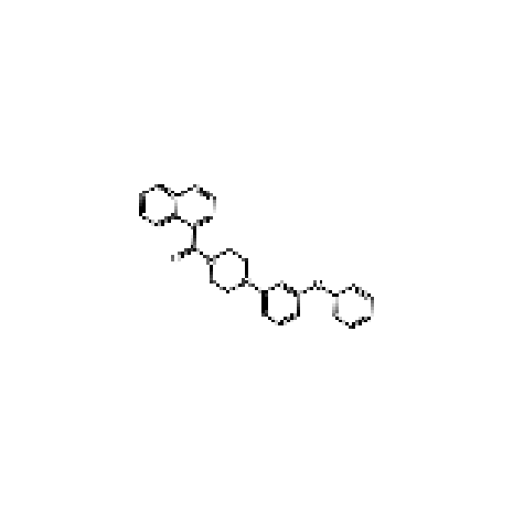 O=C(c1cccc2ccccc12)N1CCN(c2cccc(Oc3ccccc3)c2)CC1